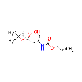 C=CCOC(=O)NC(CO)CC(=O)OC(C)(C)C